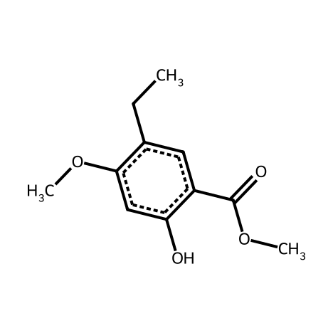 CCc1cc(C(=O)OC)c(O)cc1OC